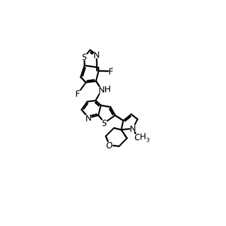 CN1CC=C(c2cc3c(Nc4c(F)cc5scnc5c4F)ccnc3s2)C12CCOCC2